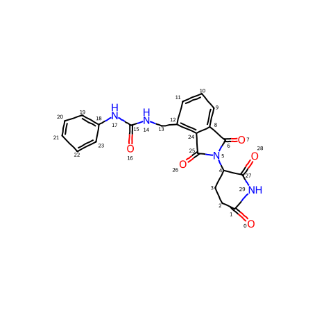 O=C1CCC(N2C(=O)c3cccc(CNC(=O)Nc4ccccc4)c3C2=O)C(=O)N1